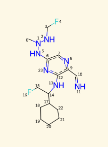 CN(NCF)Nc1cnc(C=N)c(NC(CF)C2CCCCC2)n1